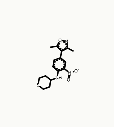 Cc1noc(C)c1-c1ccc(NC2CCSCC2)c([N+](=O)[O-])c1